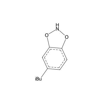 CCC(C)c1ccc2c(c1)ONO2